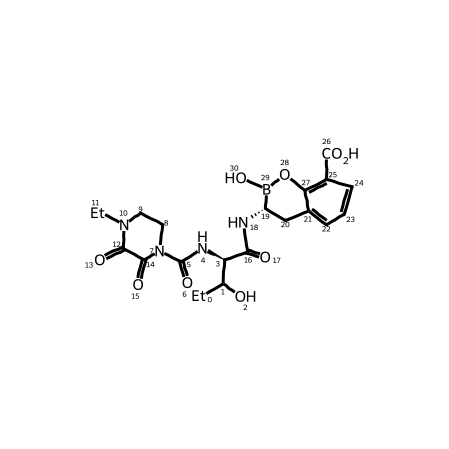 CCC(O)[C@@H](NC(=O)N1CCN(CC)C(=O)C1=O)C(=O)N[C@H]1Cc2cccc(C(=O)O)c2OB1O